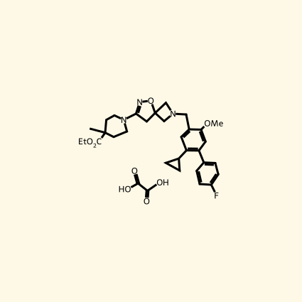 CCOC(=O)C1(C)CCN(C2=NOC3(C2)CN(Cc2cc(C4CC4)c(-c4ccc(F)cc4)cc2OC)C3)CC1.O=C(O)C(=O)O